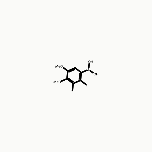 COc1cc(B(O)O)c(I)c(C)c1OC